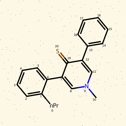 CCCc1ccccc1-c1cn(C)cc(-c2ccccc2)c1=S